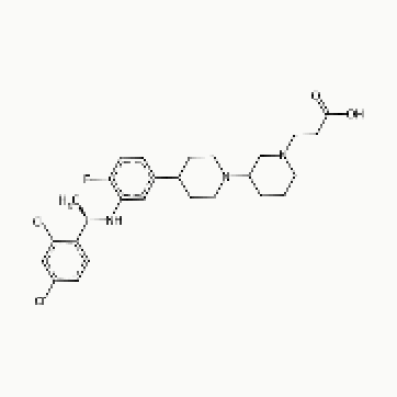 C[C@@H](Nc1cc(C2CCN(C3CCCN(CCC(=O)O)C3)CC2)ccc1F)c1ccc(Cl)cc1Cl